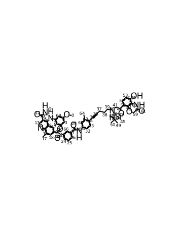 COc1cccc(Nc2c(C(N)=O)cnc3c(C)cc(S(=O)(=O)c4cccc(C(=O)Nc5ccc(C#CCCCNCC(O[Si](C)(C)C(C)(C)C)c6ccc(O)c7c6OCC(=O)N7)c(C)c5)c4)cc23)c1